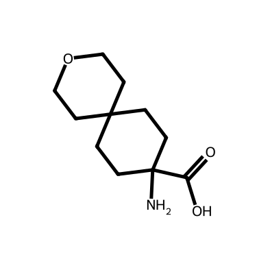 NC1(C(=O)O)CCC2(CCOCC2)CC1